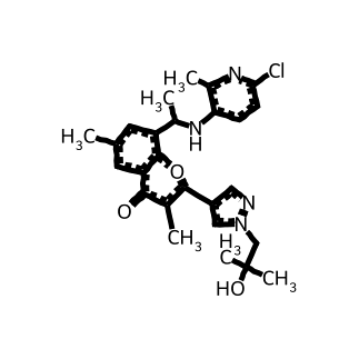 Cc1cc(C(C)Nc2ccc(Cl)nc2C)c2oc(-c3cnn(CC(C)(C)O)c3)c(C)c(=O)c2c1